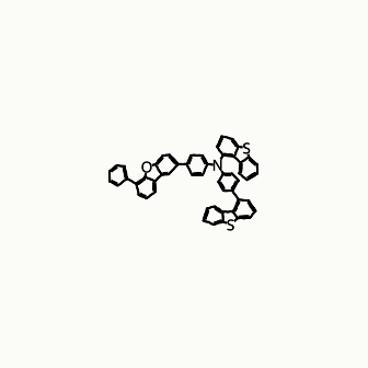 c1ccc(-c2cccc3c2oc2ccc(-c4ccc(N(c5ccc(-c6cccc7sc8ccccc8c67)cc5)c5cccc6sc7ccccc7c56)cc4)cc23)cc1